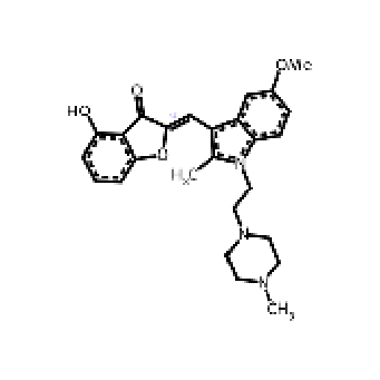 COc1ccc2c(c1)c(/C=C1\Oc3cccc(O)c3C1=O)c(C)n2CCN1CCN(C)CC1